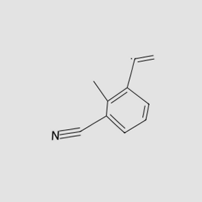 C=[C]c1cccc(C#N)c1C